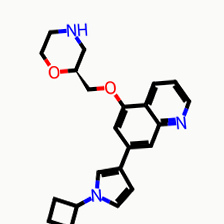 c1cnc2cc(-c3ccn(C4CCC4)c3)cc(OC[C@@H]3CNCCO3)c2c1